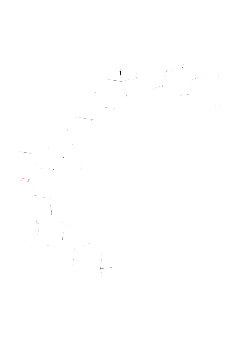 CCC/C=C(/CC(C)(C)C/C=C(/C)C(=O)[C@H]1CC[C@@](C)(C(=O)OC2OC(C(=O)O)C(O)C(O)C2O)CC1)C(=O)c1cc2nc(C3CCC(C)(C)CC3)cc(C(C)(C)C)c2o1